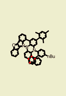 CCCCc1ccc(N2c3cc(-c4c(C)cc(C)cc4C)cc4c3B(c3ccc5sc6ccccc6c5c32)n2c3c-4cccc3c3oc4ccccc4c32)c(-c2ccccc2)c1